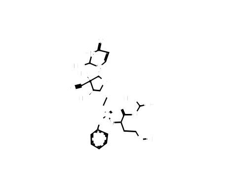 C#C[C@@]1(O)[C@H](O)[C@@H](COP(=S)(NC(CCSC)C(=O)OC(C)C)Oc2ccccc2)O[C@H]1N1C=CC(=O)NC1O